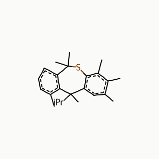 Cc1cc2c(c(C)c1C)SC(C)(C)c1cccc(C)c1C2(C)C(C)C